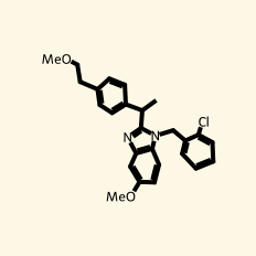 COCCc1ccc(C(C)c2nc3cc(OC)ccc3n2Cc2ccccc2Cl)cc1